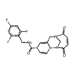 O=C(NCc1c(F)cc(F)cc1F)C1C=CN2C(=C1)CN1CN2C(=O)C=CC1=O